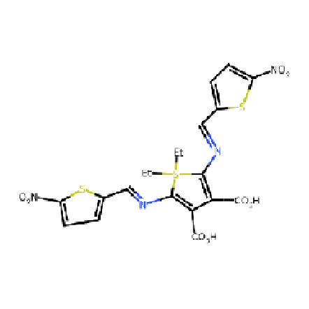 CCS1(CC)C(N=Cc2ccc([N+](=O)[O-])s2)=C(C(=O)O)C(C(=O)O)=C1N=Cc1ccc([N+](=O)[O-])s1